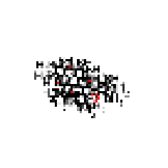 Bc1c(B)c(B)c(-c2c3c(B)c(B)c(B)c(B)c3c(-c3c(B)c4c(oc5c(B)c(B)c(B)c(B)c54)c4c(B)c(B)c(B)c(B)c34)c3c(B)c(B)c(B)c(B)c23)c(B)c1B